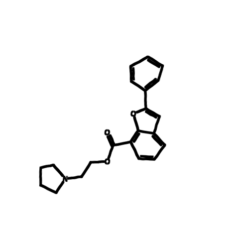 O=C(OCCN1CCCC1)c1cccc2cc(-c3ccccc3)oc12